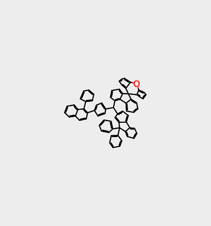 c1ccc(-c2c(-c3ccc(C(c4ccc5c(c4)C(c4ccccc4)(c4ccccc4)c4ccccc4-5)c4cccc5c4-c4ccccc4C54c5ccccc5Oc5ccccc54)cc3)ccc3ccccc23)cc1